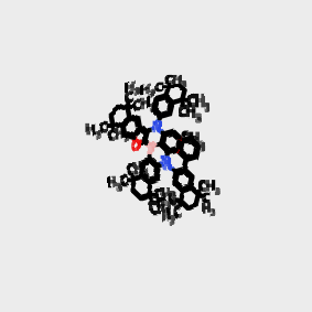 Cc1cc2c3c(c1)N(c1ccc4c(c1)C(C)(C)CCC4(C)C)c1c(oc4cc5c(cc14)C(C)(C)CCC5(C)C)B3c1cc3c(cc1N2c1cc2c(cc1-c1ccccc1)C(C)(C)CCC2(C)C)C(C)(C)CCC3(C)C